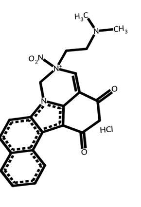 CN(C)CC[N+]1([N+](=O)[O-])C=C2C(=O)CC(=O)c3c2n(c2ccc4ccccc4c32)C1.Cl